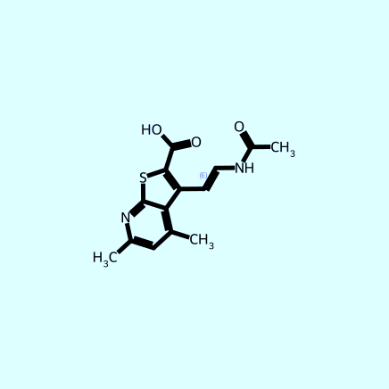 CC(=O)N/C=C/c1c(C(=O)O)sc2nc(C)cc(C)c12